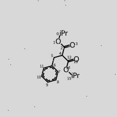 CC(C)OC(=O)C(Cc1ccccc1)C(=O)OC(C)C